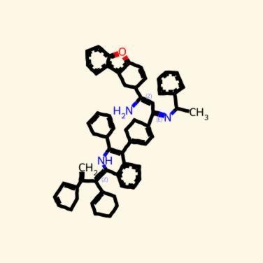 C=C(C1=CC=CCC1)/C(C1=CCCCC1)=C1\NC(C2C=CC=CC2)=C(C2=CC=C(C(/C=C(\N)C3C=Cc4oc5ccccc5c4C3)=N/C(C)c3ccccc3)CC2)c2ccccc21